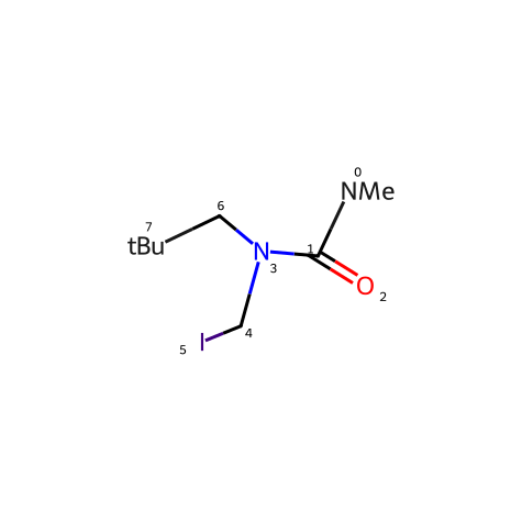 CNC(=O)N(CI)CC(C)(C)C